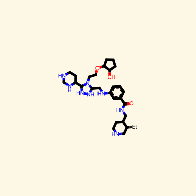 CCC1CNCCC1CNC(=O)c1cccc(NCC2NNC(C3CCNCN3)N2CCOC2CCCC2O)c1